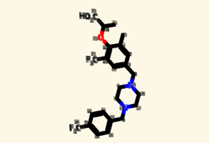 Cc1cc(CN2CCN(Cc3ccc(C(F)(F)F)cc3)CC2)cc(C(F)(F)F)c1OC(C)C(=O)O